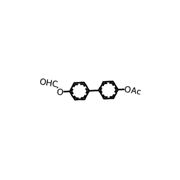 CC(=O)Oc1ccc(-c2ccc(OC=O)cc2)cc1